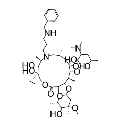 CC[C@H]1OC(=O)[C@H](C)[C@@H](O[C@H]2C[C@@](C)(OC)[C@@H](O)[C@H](C)O2)[C@H](C)[C@@H](O[C@@H]2O[C@H](C)C[C@H](N(C)C)[C@H]2O)[C@](C)(O)C[C@@H](C)CN(CCCNCc2ccccc2)[C@H](C)[C@@H](O)[C@]1(C)O